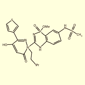 COP1(=O)N=C([N+]2(CCC(C)C)N=C(c3ccsc3)C(O)=CC2=O)Nc2ccc(NS(C)(=O)=O)cc21